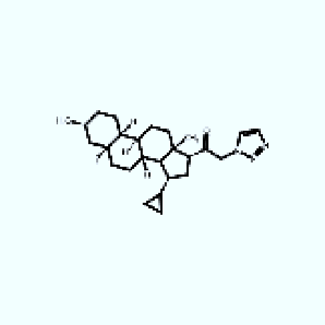 C[C@H]1CC[C@H]2[C@H](CC[C@H]3C4[C@H](C5CC5)C[C@H](C(=O)Cn5ccnn5)[C@@]4(C)CC[C@H]23)C1